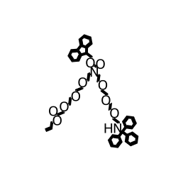 C=CCOC(=O)COCCOCCOCCN(CCOCCOCCOCCNC(c1ccccc1)(c1ccccc1)c1ccccc1)C(=O)OCC1c2ccccc2-c2ccccc21